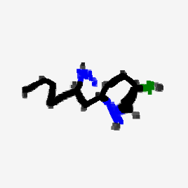 CCCC(N)Cc1ccc(F)cn1